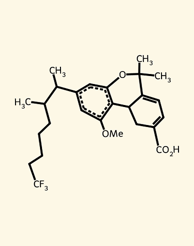 COc1cc(C(C)C(C)CCCCC(F)(F)F)cc2c1C1CC(C(=O)O)=CC=C1C(C)(C)O2